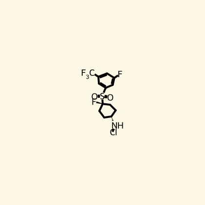 O=S(=O)(c1cc(F)cc(C(F)(F)F)c1)[C@]1(F)CC[C@H](NCl)CC1